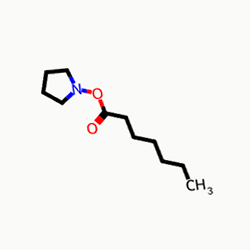 CCCCCCC(=O)ON1CCCC1